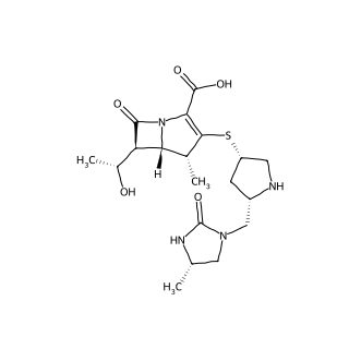 C[C@H]1CN(C[C@@H]2C[C@H](SC3=C(C(=O)O)N4C(=O)[C@H]([C@@H](C)O)[C@H]4[C@H]3C)CN2)C(=O)N1